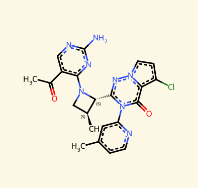 CC(=O)c1cnc(N)nc1N1C[C@H](C)[C@H]1c1nn2ccc(Cl)c2c(=O)n1-c1cc(C)ccn1